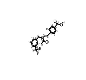 COC(=O)c1ccc(CCN(Cc2cccc(C(F)(F)F)c2)C(C)=O)cc1